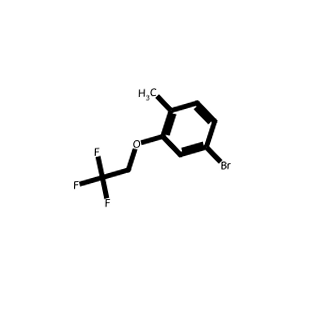 Cc1ccc(Br)cc1OCC(F)(F)F